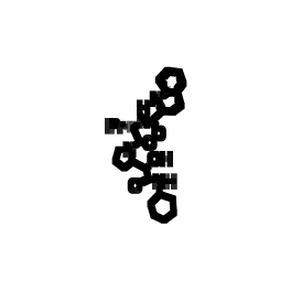 CC(C)[C@H](NC(=O)c1ccc2ccccc2n1)C(=O)N1CCCC1C(O)C(=O)NC1CCCCC1